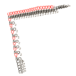 O=[N+]([O-])[O-].O=[N+]([O-])[O-].O=[N+]([O-])[O-].O=[N+]([O-])[O-].O=[N+]([O-])[O-].O=[N+]([O-])[O-].O=[N+]([O-])[O-].O=[N+]([O-])[O-].O=[N+]([O-])[O-].O=[N+]([O-])[O-].O=[N+]([O-])[O-].O=[N+]([O-])[O-].O=[N+]([O-])[O-].O=[N+]([O-])[O-].O=[N+]([O-])[O-].O=[N+]([O-])[O-].O=[N+]([O-])[O-].O=[N+]([O-])[O-].O=[N+]([O-])[O-].O=[N+]([O-])[O-].O=[N+]([O-])[O-].O=[N+]([O-])[O-].O=[N+]([O-])[O-].O=[N+]([O-])[O-].O=[N+]([O-])[O-].O=[N+]([O-])[O-].[Co+2].[Co+2].[Co+2].[Co+2].[Co+2].[Co+2].[Co+2].[Co+2].[Co+2].[Co+2]